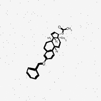 CC(=O)O[C@H]1C=C[C@H]2[C@@H]3CCc4cc(OCc5ccccc5)ccc4[C@H]3CC[C@]12C